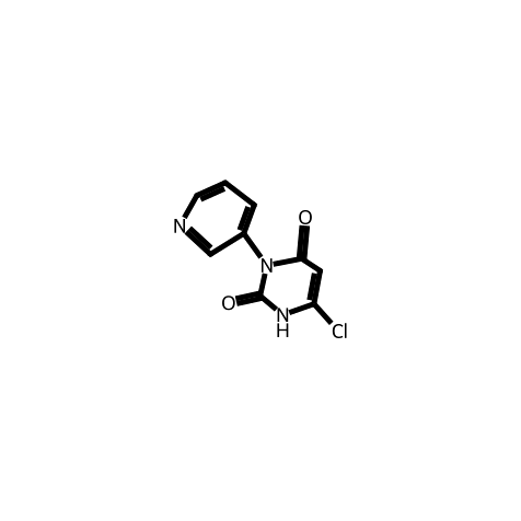 O=c1cc(Cl)[nH]c(=O)n1-c1cccnc1